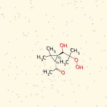 [CH2]C(=O)[C@H]1[C@H](C(O)C(C)(C)OO)C1(C)C